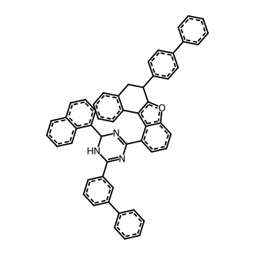 c1ccc(-c2ccc(C3Cc4ccccc4-c4c3oc3cccc(C5=NC(c6cccc7ccccc67)NC(c6cccc(-c7ccccc7)c6)=N5)c43)cc2)cc1